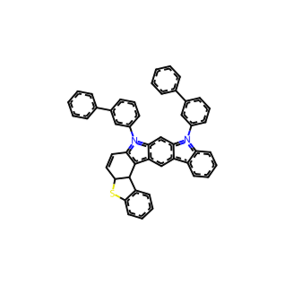 C1=CC2Sc3ccccc3C2c2c1n(-c1cccc(-c3ccccc3)c1)c1cc3c(cc21)c1ccccc1n3-c1cccc(-c2ccccc2)c1